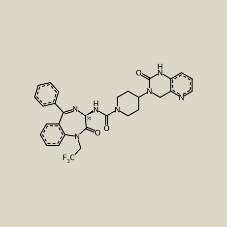 O=C(N[C@@H]1N=C(c2ccccc2)c2ccccc2N(CC(F)(F)F)C1=O)N1CCC(N2Cc3ncccc3NC2=O)CC1